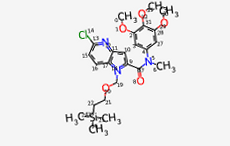 COc1cc(N(C)C(=O)c2cc3nc(Cl)ccc3n2COCC[Si](C)(C)C)cc(OC)c1OC